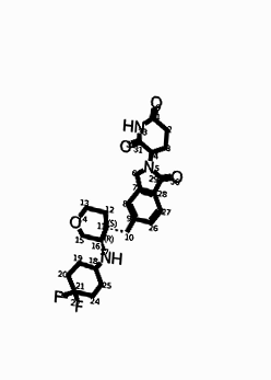 O=C1CCC(N2Cc3cc(C[C@H]4CCOC[C@@H]4NC4CCC(F)(F)CC4)ccc3C2=O)C(=O)N1